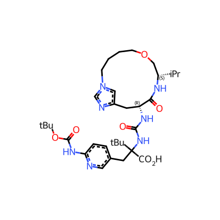 CC(C)[C@H]1COCCCCn2cnc(c2)C[C@@H](NC(=O)NC(Cc2ccc(NC(=O)OC(C)(C)C)nc2)(C(=O)O)C(C)(C)C)C(=O)N1